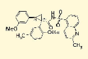 COc1cccc([C@H]2C[C@@]2(C(=O)NS(=O)(=O)c2cccc3nc(C)ccc23)c2cc(C)ccc2OC)c1